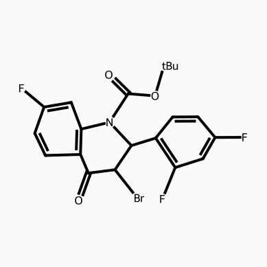 CC(C)(C)OC(=O)N1c2cc(F)ccc2C(=O)C(Br)C1c1ccc(F)cc1F